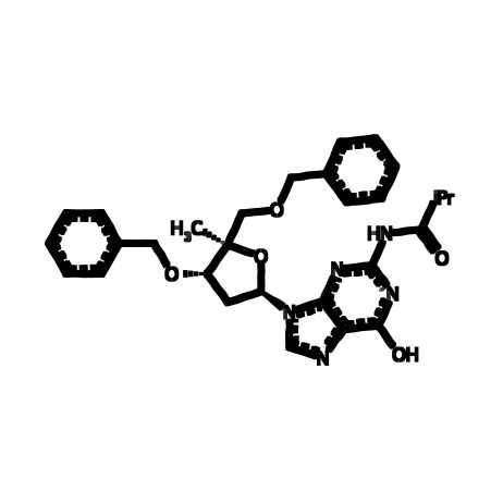 CC(C)C(=O)Nc1nc(O)c2ncn([C@H]3C[C@H](OCc4ccccc4)[C@@](C)(COCc4ccccc4)O3)c2n1